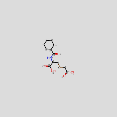 O=C(O)CSCC(NC(=O)C1CCCCC1)C(=O)O